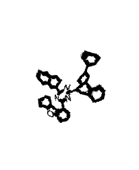 c1ccc(-c2ccc3c(-c4nc(-c5ccc6ccccc6c5)nc(-c5cccc6oc7ccccc7c56)n4)cc4ccccc4c3c2)cc1